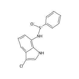 [O-][S+](Nc1cccc2c(Cl)c[nH]c12)c1ccccc1